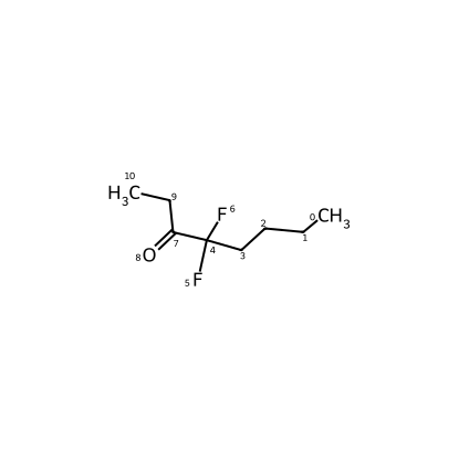 CCCCC(F)(F)C(=O)CC